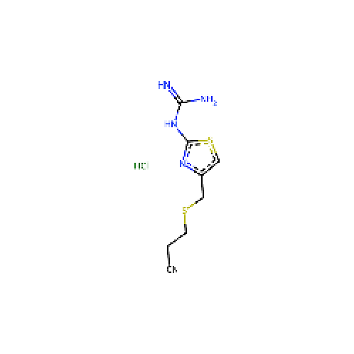 Cl.N#CCCSCc1csc(NC(=N)N)n1